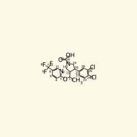 CC(Oc1ccc(C(F)(F)F)cn1)C1CN(C(=O)O)CC1c1ccc(Cl)c(Cl)c1